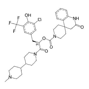 CN1CCC(C2CCN(C(=O)[C@@H](Cc3cc(Cl)c(O)c(C(F)(F)F)c3)OC(=O)N3CCC4(CC3)CC(=O)Nc3ccccc34)CC2)CC1